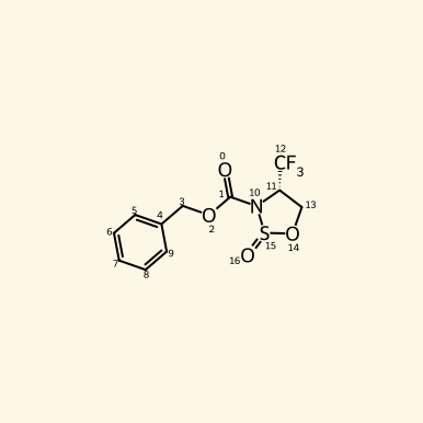 O=C(OCc1ccccc1)N1[C@H](C(F)(F)F)COS1=O